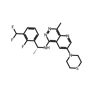 Cc1nnc(N[C@H](C)c2cccc(C(F)F)c2F)c2cc(N3CCSCC3)cnc12